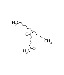 CCCCCCN(CCCCCC)C(=O)CCCCC(N)=O